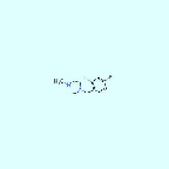 CCc1ccc(CN2CCN(C)CC2)c(F)c1